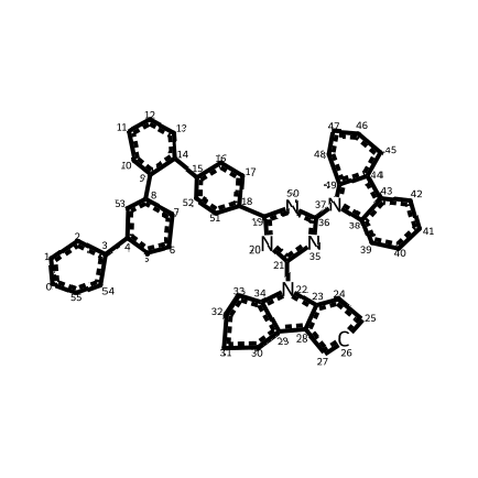 c1ccc(-c2cccc(-c3ccccc3-c3ccc(-c4nc(-n5c6ccccc6c6ccccc65)nc(-n5c6ccccc6c6ccccc65)n4)cc3)c2)cc1